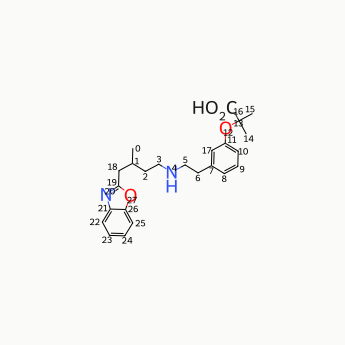 CC(CCNCCc1cccc(OC(C)(C)C(=O)O)c1)Cc1nc2ccccc2o1